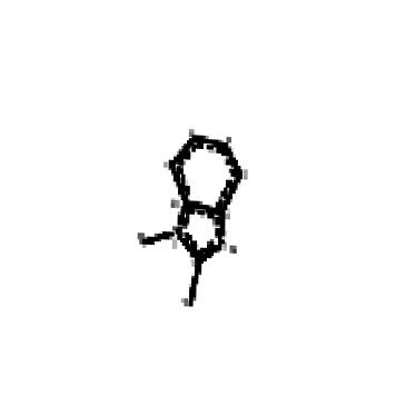 [CH2]n1c(C)nc2ccccc21